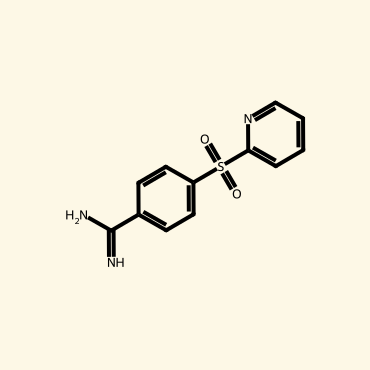 N=C(N)c1ccc(S(=O)(=O)c2ccccn2)cc1